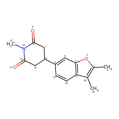 Cc1oc2cc(C3CC(=O)N(C)C(=O)C3)ccc2c1C